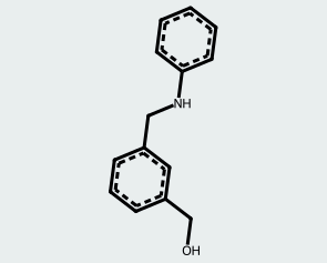 OCc1cccc(CNc2ccccc2)c1